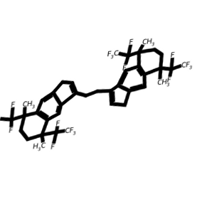 CC1(C(F)(F)C(F)(F)F)CCC(C)(C(F)(F)C(F)(F)F)c2cc3c(cc21)CC=C3CCC1=CCc2cc3c(cc21)C(C)(C(F)(F)C(F)(F)F)CCC3(C)C(F)(F)C(F)(F)F